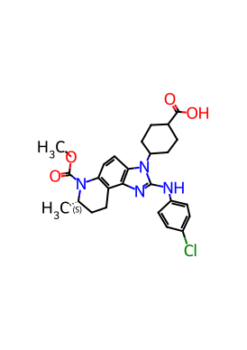 COC(=O)N1c2ccc3c(nc(Nc4ccc(Cl)cc4)n3C3CCC(C(=O)O)CC3)c2CC[C@@H]1C